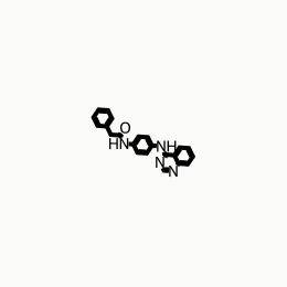 O=C(Cc1ccccc1)Nc1ccc(Nc2ncnc3ccccc23)cc1